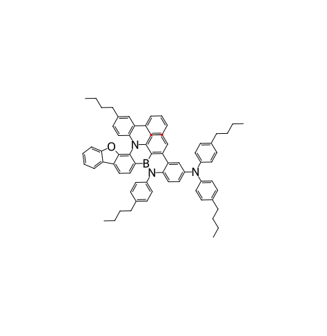 CCCCc1ccc(N2B3c4ccc5c(oc6ccccc65)c4N(c4ccc(CCCC)cc4-c4ccccc4)c4cccc(c43)-c3cc(N(c4ccc(CCCC)cc4)c4ccc(CCCC)cc4)ccc32)cc1